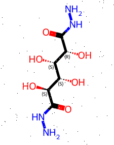 NNC(=O)[C@@H](O)[C@@H](O)[C@H](O)[C@@H](O)C(=O)NN